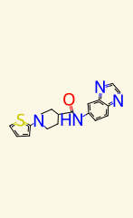 O=C(Nc1ccc2nccnc2c1)C1CCN(c2cccs2)CC1